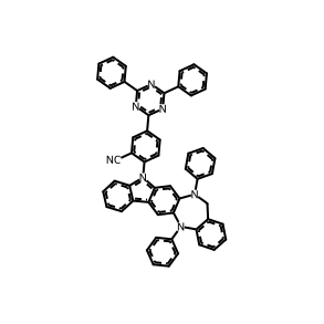 N#Cc1cc(-c2nc(-c3ccccc3)nc(-c3ccccc3)n2)ccc1-n1c2ccccc2c2cc3c(cc21)N(c1ccccc1)Cc1ccccc1N3c1ccccc1